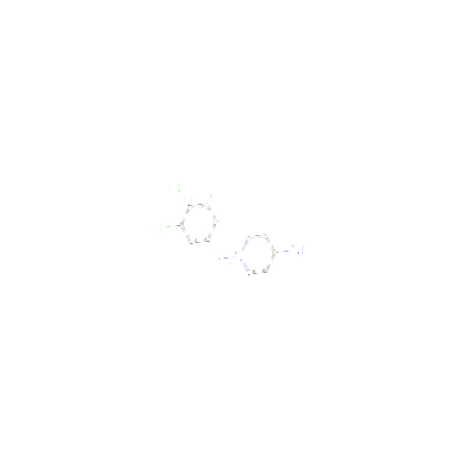 Nc1cc[n+](Cc2ccc(Cl)c(Cl)c2)cc1